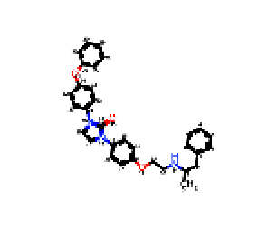 CC(Cc1ccccc1)NCCOc1ccc(-n2ccn(-c3ccc(Oc4ccccc4)cc3)c2=O)cc1